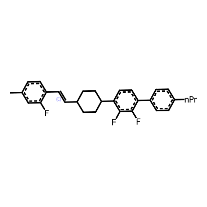 CCCc1ccc(-c2ccc(C3CCC(/C=C/c4ccc(C)cc4F)CC3)c(F)c2F)cc1